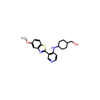 COc1ccc2sc(-c3cnccc3NC3CCC(CO)CC3)nc2c1